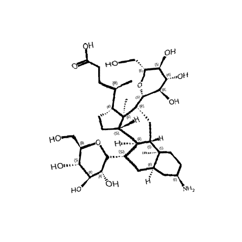 C[C@H](CCC(=O)O)[C@H]1CC[C@H]2[C@@H]3[C@@H](C4O[C@H](CO)[C@@H](O)[C@H](O)[C@H]4O)C[C@@H]4C[C@H](N)CC[C@]4(C)[C@H]3C[C@@H]([C@@H]3O[C@H](CO)[C@@H](O)[C@H](O)[C@H]3O)[C@]12C